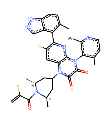 C=C(F)C(=O)N1[C@H](C)CC(n2c(=O)c(=O)n(-c3c(C)ccnc3C(C)C)c3nc(-c4c(C)ccc5[nH]ncc45)c(F)cc32)C[C@H]1C